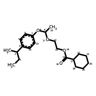 CCC(C)c1ccc(OC(C)OCCOC(=O)C2CCCCC2)cc1